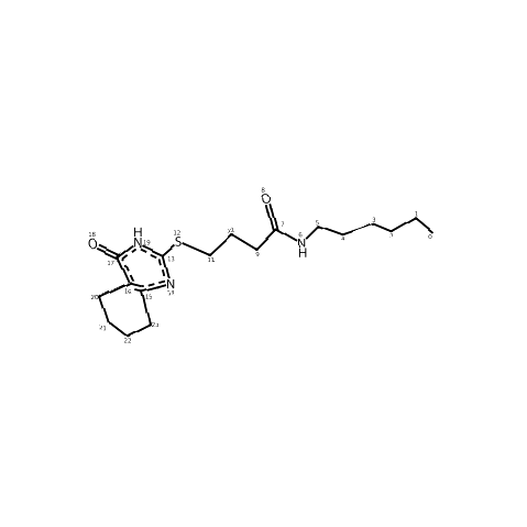 CCCCCCNC(=O)CCCSc1nc2c(c(=O)[nH]1)CCCC2